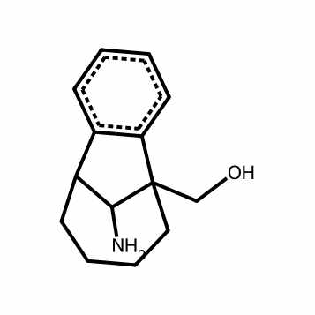 NC1C2CCCCC1(CO)c1ccccc12